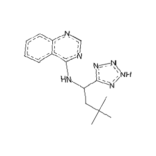 CC(C)(C)CC(Nc1ncnc2ccccc12)c1nn[nH]n1